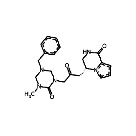 CN1CN(Cc2ccccc2)CN(CC(=O)C[C@@H]2CNC(=O)c3cccn32)C1=O